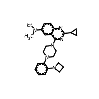 CCN(C)c1ccc2nc(C3CC3)nc(N3CCN(c4ccccc4N4CCC4)CC3)c2c1